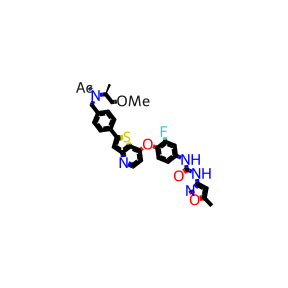 COC[C@H](C)N(Cc1ccc(-c2cc3nccc(Oc4ccc(NC(=O)Nc5cc(C)on5)cc4F)c3s2)cc1)C(C)=O